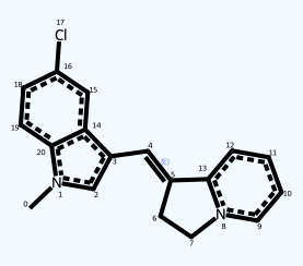 Cn1cc(/C=C2\CC[n+]3ccccc32)c2cc(Cl)ccc21